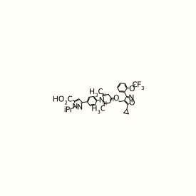 CC(C)n1nc(-c2ccc(N3[C@H](C)C[C@H](OCc4c(-c5ccccc5OC(F)(F)F)noc4C4CC4)C[C@@H]3C)cc2)cc1C(=O)O